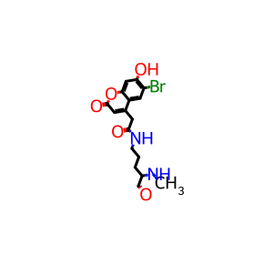 CNC(C=O)CCCNC(=O)Cc1cc(=O)oc2cc(O)c(Br)cc12